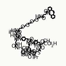 C#CCCCON(C(=O)[C@@H](NC(=O)[C@H]1CCCCN1C)[C@@H](C)CC)[C@H](C[C@@H](OC(C)=O)c1nc(C(=O)N[C@@H](Cc2ccc(NC(=O)OCc3ccc(NC(=O)[C@H](CCCNC(N)=O)NC(=O)[C@@H](NC(=O)CCOCCOCCOCCOCCNC(=O)CCC(=O)N4Cc5ccccc5C#Cc5ccccc54)C(C)C)cc3)cc2)CC(C)(C)C(=O)O)cs1)C(C)C